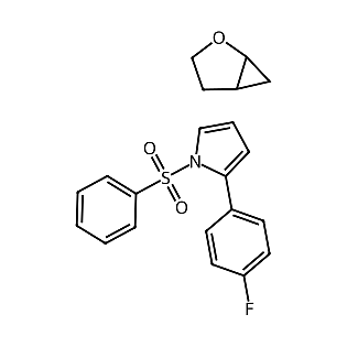 C1CC2CC2O1.O=S(=O)(c1ccccc1)n1cccc1-c1ccc(F)cc1